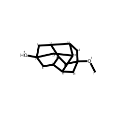 COC12CC3C4CC5(O)CC3C(C1)C(C5)C4C2